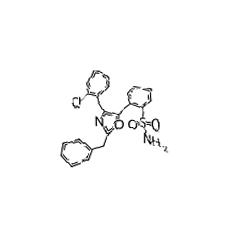 NS(=O)(=O)c1ccccc1-c1oc(Cc2ccccc2)nc1-c1ccccc1Cl